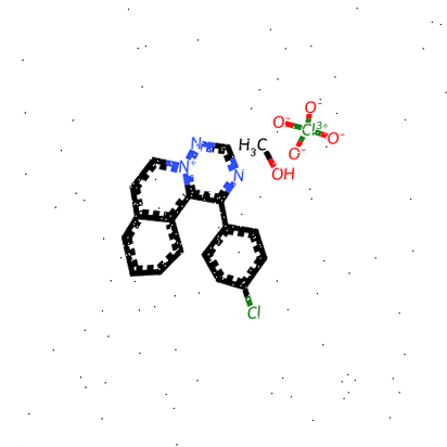 CO.Clc1ccc(-c2ncn[n+]3ccc4ccccc4c23)cc1.[O-][Cl+3]([O-])([O-])[O-]